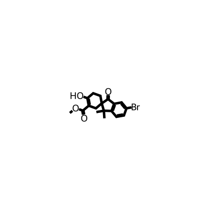 COC(=O)C1=C(O)CCC2(C1)C(=O)c1cc(Br)ccc1C2(C)C